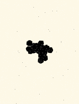 CC(C)c1c(-c2ccccc2)c2ccc3c(oc4cccc(-c5ccccc5-c5ccccc5)c43)c2c2c1cc(-c1ccccc1)c1oc3c(N(c4ccc5c(c4)-c4ccccc4C5(C)C)c4cccc5cc(-c6ccccc6)ccc45)cccc3c12